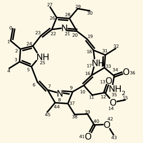 C=Cc1c(C)c2cc3nc(c(CC(=O)OC)c4[nH]c(cc5nc(cc1[nH]2)C(C)=C5CC)c(C)c4C(N)=O)C(CCC(=O)OC)C3C